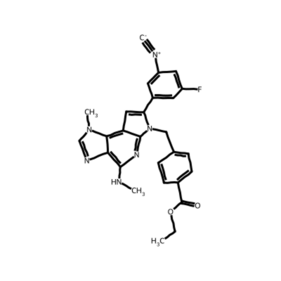 [C-]#[N+]c1cc(F)cc(-c2cc3c4c(ncn4C)c(NC)nc3n2Cc2ccc(C(=O)OCC)cc2)c1